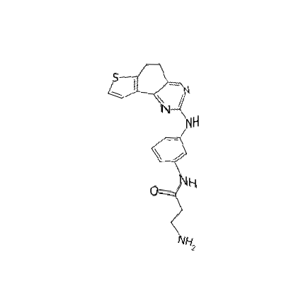 NCCC(=O)Nc1cccc(Nc2ncc3c(n2)-c2ccsc2CC3)c1